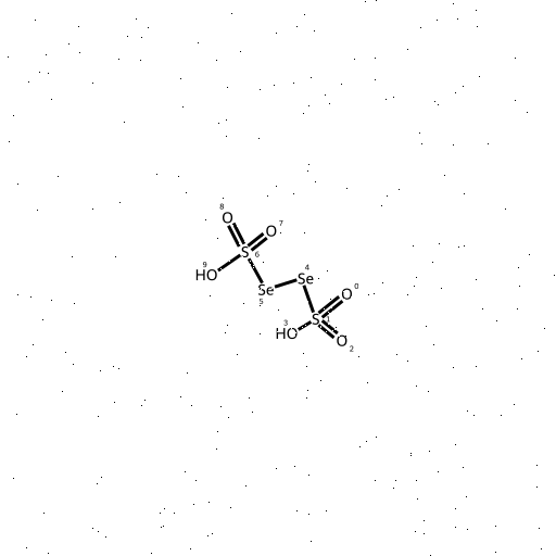 O=S(=O)(O)[Se][Se]S(=O)(=O)O